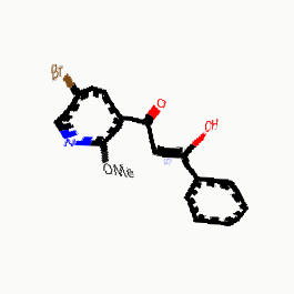 COc1ncc(Br)cc1C(=O)/C=C(\O)c1ccccc1